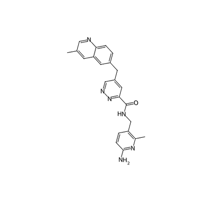 Cc1cnc2ccc(Cc3cnnc(C(=O)NCc4ccc(N)nc4C)c3)cc2c1